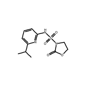 CC(C)c1cccc(NS(=O)(=O)N2CCOC2=O)n1